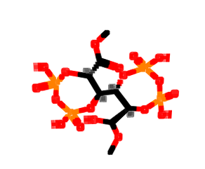 COC(=O)[C@H]1OP(=O)(O)OP(=O)(O)O[C@@H]1[C@@H]1OP(=O)(O)OP(=O)(O)O[C@H]1C(O)OC